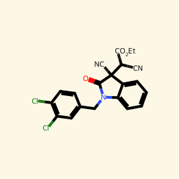 CCOC(=O)C(C#N)C1(C#N)C(=O)N(Cc2ccc(Cl)c(Cl)c2)c2ccccc21